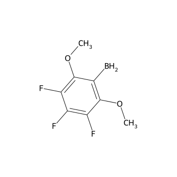 Bc1c(OC)c(F)c(F)c(F)c1OC